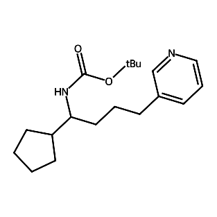 CC(C)(C)OC(=O)NC(CCCc1cccnc1)C1CCCC1